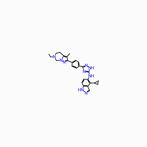 CCN1CCc2c(C)c(-c3ccc(-c4n[nH]c(Nc5ccc6[nH]ncc6c5C5CC5)n4)cc3)nn2C1